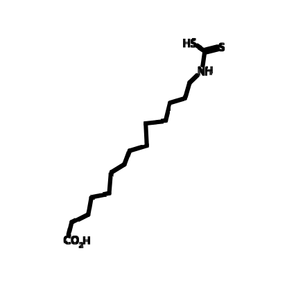 O=C(O)CCCCCCCCCCCCCNC(=S)S